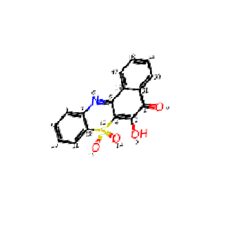 O=C1C(O)=C2C(=Nc3ccccc3S2(=O)=O)c2ccccc21